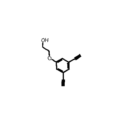 C#Cc1cc(C#C)cc(OCCO)c1